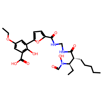 CCCCC[C@@H](C(=O)NCNC(=O)c1ccc(-c2cc(OCC)cc(C(=O)O)c2O)o1)[C@@H](CC)N(O)C=O